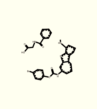 CNc1cccc2c3cccc(NC(=O)Oc4ccc(Br)cc4)cc-3nc12.O=C(O)CNC(=O)c1ccccc1